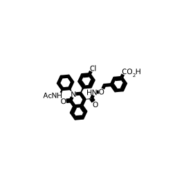 CC(=O)N[C@H]1CCCC[C@@H]1N1C(=O)c2ccccc2[C@@H](C(=O)NOCc2cccc(C(=O)O)c2)[C@@H]1c1ccc(Cl)cc1